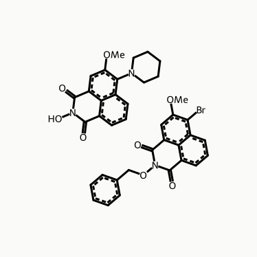 COc1cc2c3c(cccc3c1Br)C(=O)N(OCc1ccccc1)C2=O.COc1cc2c3c(cccc3c1N1CCCCC1)C(=O)N(O)C2=O